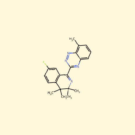 Cc1cccc2nc(C3=NC(C)(C)C(C)(C)c4ccc(F)cc43)nnc12